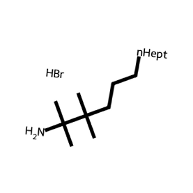 Br.CCCCCCCCCCC(C)(C)C(C)(C)N